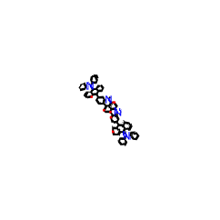 CN1c2cc(-c3c4ccccc4c(N(c4ccccc4)c4ccccc4)c4ccccc34)ccc2-c2ccc3c4c(ccc1c24)N(C)c1cc(-c2c4ccccc4c(N(c4ccccc4)c4ccccc4)c4ccccc24)ccc1-3